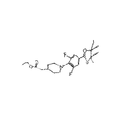 CCOC(=O)CC1CCN(c2c(F)cc(B3OC(C)(C)C(C)(C)O3)cc2F)CC1